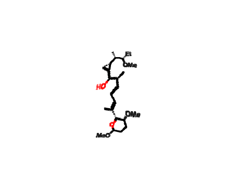 CC[C@H](OC)[C@@H](C)[C@H]1CC1[C@H](O)[C@@H](C)/C=C/C=C(\C)[C@H]1O[C@H](OC)CC[C@@H]1OC